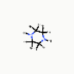 [2H]N1C([2H])([2H])C([2H])([2H])N([2H])C([2H])([2H])C1([2H])[2H]